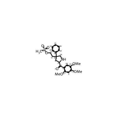 COc1cc(OC)c(C(=O)C2CC(CCOS(C)(=O)=O)(c3ccccc3)CN2)cc1OC